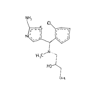 CN(CC(O)CO)C(c1cnc(N)s1)c1ccccc1Cl